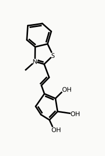 C[n+]1c(/C=C/c2ccc(O)c(O)c2O)sc2ccccc21